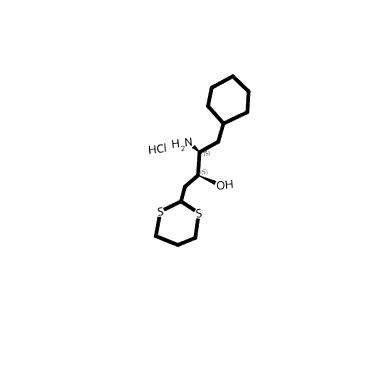 Cl.N[C@@H](CC1CCCCC1)[C@@H](O)CC1SCCCS1